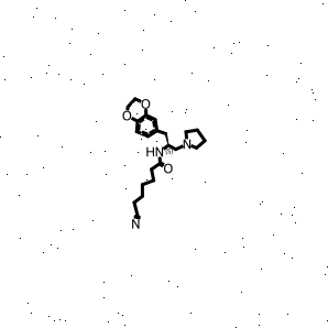 N#CCCCCCC(=O)N[C@@H](Cc1ccc2c(c1)OCCO2)CN1CCCC1